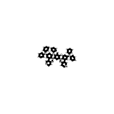 Cc1c2c(cc3c1N(c1ccccc1)c1cc(N(c4ccccc4)c4ccccc4)cc4c1B3Oc1ccncc1-4)B1Oc3ccncc3-c3cc(N(c4ccccc4)c4ccccc4)cc(c31)O2